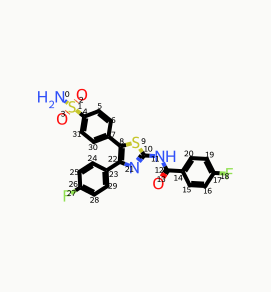 NS(=O)(=O)c1ccc(-c2sc(NC(=O)c3ccc(F)cc3)nc2-c2ccc(F)cc2)cc1